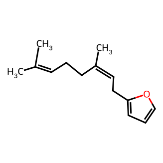 CC(C)=CCCC(C)=CCc1ccco1